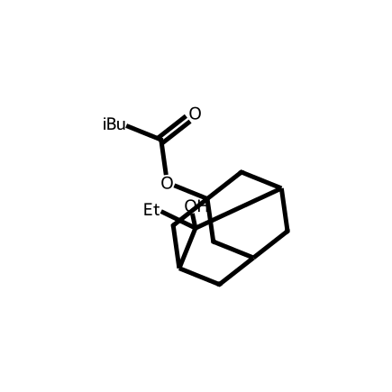 CCC(C)C(=O)OC12CC3CC(C1)C(O)(CC)C(C3)C2